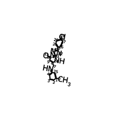 Cc1cccc(NCc2cc(=O)n3nc(-c4ccc(Cl)cc4)nc3[nH]2)c1